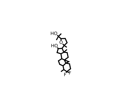 CC1C2CCC3C4CC(O)C(C5(C)CCC(C(C)(C)O)O5)C4(C)CCC34CC24CCC1(F)F